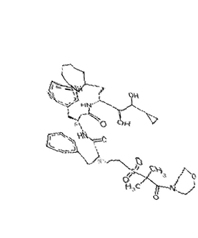 CC(C)(C(=O)N1CCOCC1)S(=O)(=O)CC[C@H](Cc1ccccc1)C(=O)N[C@@H](Cc1c[nH]cn1)C(=O)NC(CC1CCCCC1)C(O)C(O)C1CC1